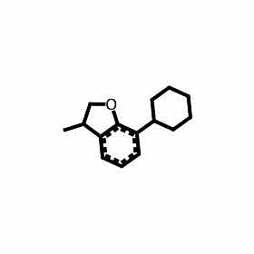 CC1COc2c1cccc2C1CCCCC1